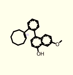 COc1ccc2c(-c3ccccc3/C3=C/CCCCCC3)ccc(O)c2c1